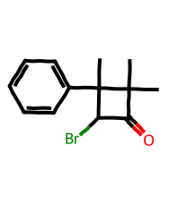 CC1(C)C(=O)C(Br)C1(C)c1ccccc1